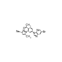 CC(=O)c1ccc(-n2cnc3cc(Br)cnc32)cc1-n1nc(C#N)cc1C